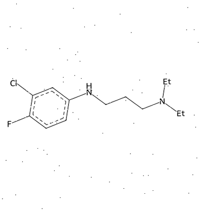 CCN(CC)CCCNc1ccc(F)c(Cl)c1